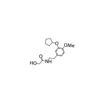 COc1ccc(CCNC(=O)CO)cc1OC1CCCC1